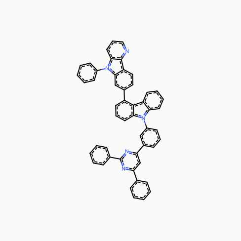 c1ccc(-c2cc(-c3cccc(-n4c5ccccc5c5c(-c6ccc7c8ncccc8n(-c8ccccc8)c7c6)cccc54)c3)nc(-c3ccccc3)n2)cc1